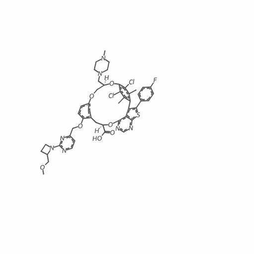 COCC1CCN1c1nccc(COc2ccc3cc2C[C@H](C(=O)O)Oc2ncnc4sc(-c5ccc(F)cc5)c(c24)-c2c(C)c(Cl)c(c(Cl)c2C)O[C@H](CN2CCN(C)CC2)CO3)n1